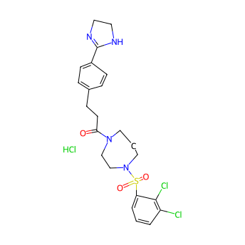 Cl.O=C(CCc1ccc(C2=NCCN2)cc1)N1CCCN(S(=O)(=O)c2cccc(Cl)c2Cl)CC1